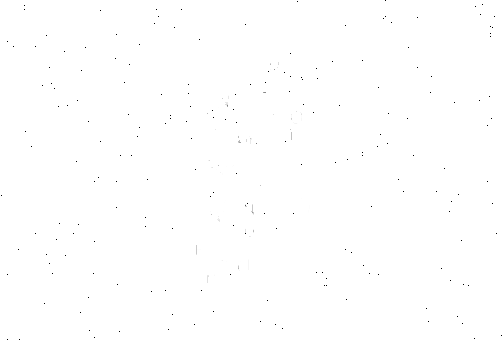 CN(Cc1ccc(-c2noc(C(F)(F)Cl)n2)cc1)c1c(Nc2ccc(F)cc2F)c(=O)c1=O